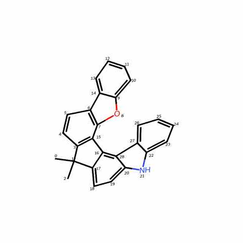 CC1(C)c2ccc3c(oc4ccccc43)c2-c2c1ccc1[nH]c3ccccc3c21